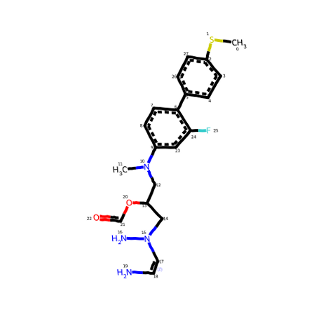 CSc1ccc(-c2ccc(N(C)CC(CN(N)/C=C\N)OC=O)cc2F)cc1